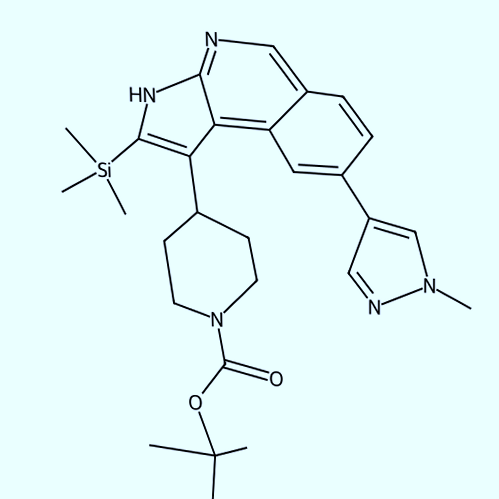 Cn1cc(-c2ccc3cnc4[nH]c([Si](C)(C)C)c(C5CCN(C(=O)OC(C)(C)C)CC5)c4c3c2)cn1